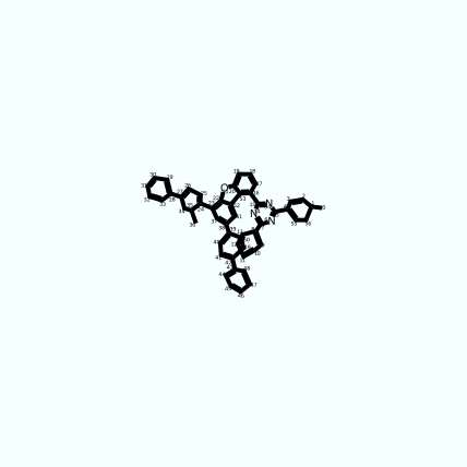 CC1C=CC(c2nc(-c3ccccc3)nc(-c3cccc4oc5c(C6=CC=C(c7ccccc7)CC6C)cc(C6=CC=C(c7ccccc7)CC6)cc5c34)n2)=CC1